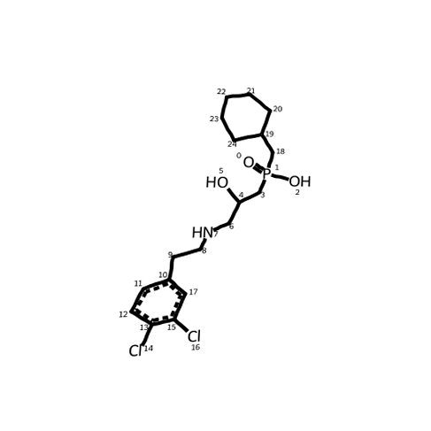 O=P(O)(CC(O)CNCCc1ccc(Cl)c(Cl)c1)CC1CCCCC1